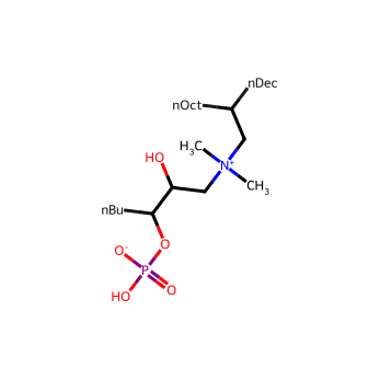 CCCCCCCCCCC(CCCCCCCC)C[N+](C)(C)CC(O)C(CCCC)OP(=O)([O-])O